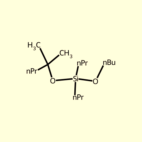 CCCCO[Si](CCC)(CCC)OC(C)(C)CCC